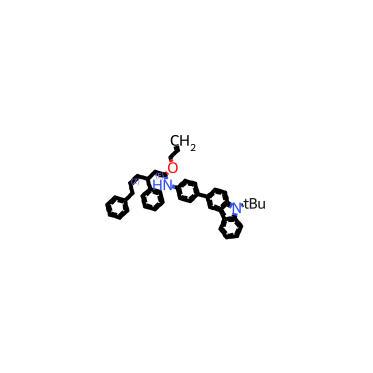 C=CCO/C(=C/C(/C=C\Cc1ccccc1)c1ccccc1)Nc1ccc(-c2ccc3c(c2)c2ccccc2n3C(C)(C)C)cc1